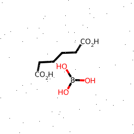 O=C(O)CCCCC(=O)O.OB(O)O